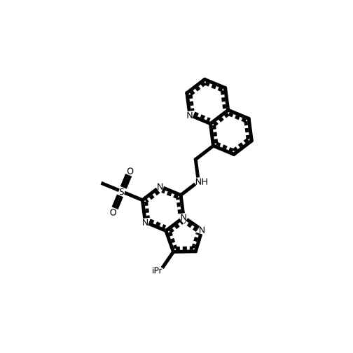 CC(C)c1cnn2c(NCc3cccc4cccnc34)nc(S(C)(=O)=O)nc12